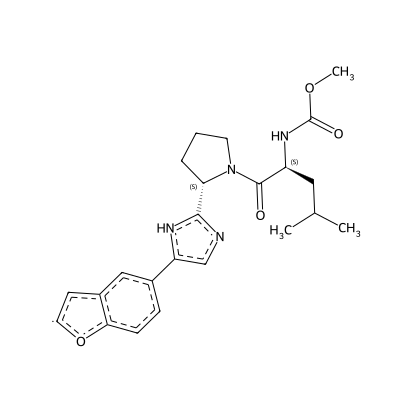 COC(=O)N[C@@H](CC(C)C)C(=O)N1CCC[C@H]1c1ncc(-c2ccc3o[c]cc3c2)[nH]1